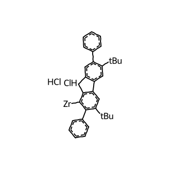 CC(C)(C)c1cc2c(cc1-c1ccccc1)Cc1c-2cc(C(C)(C)C)c(-c2ccccc2)[c]1[Zr].Cl.Cl